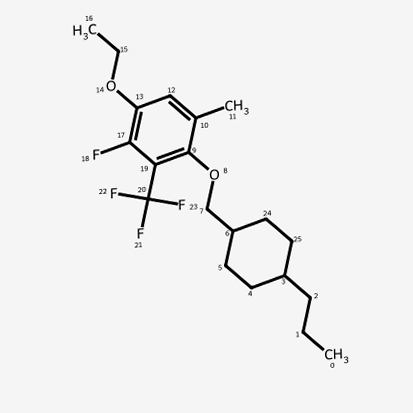 CCCC1CCC(COc2c(C)cc(OCC)c(F)c2C(F)(F)F)CC1